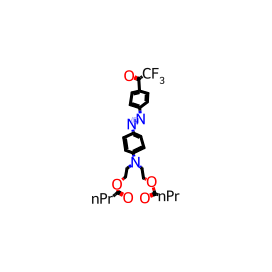 CCCC(=O)OCCN(CCOC(=O)CCC)c1ccc(/N=N/c2ccc(C(=O)C(F)(F)F)cc2)cc1